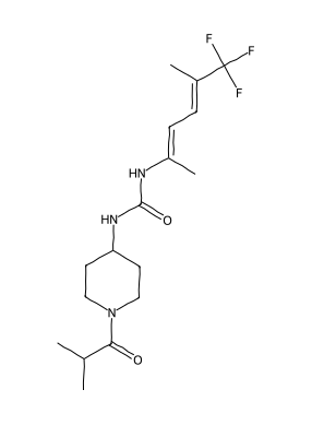 C/C(=C\C=C(/C)C(F)(F)F)NC(=O)NC1CCN(C(=O)C(C)C)CC1